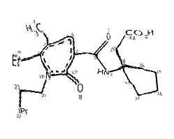 CCc1c(C)cc(C(=O)NC2(CC(=O)O)CCCCC2)c(=O)n1CCC(C)C